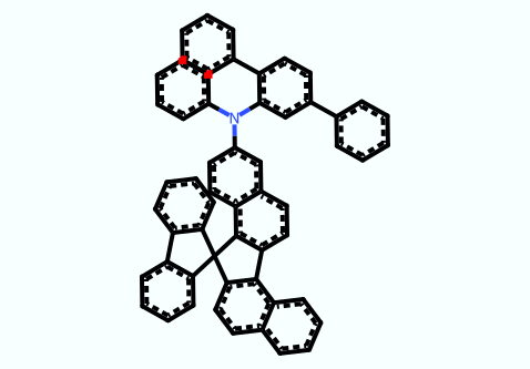 c1ccc(-c2ccc(-c3ccccc3)c(N(c3ccccc3)c3ccc4c5c(ccc4c3)-c3c(ccc4ccccc34)C53c4ccccc4-c4ccccc43)c2)cc1